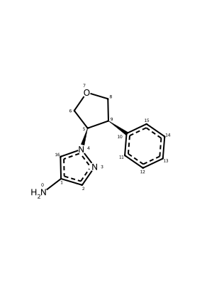 Nc1cnn([C@H]2COC[C@H]2c2ccccc2)c1